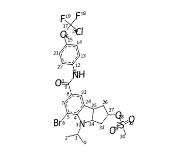 CC(C)N1c2c(Br)cc(C(=O)Nc3ccc(OC(F)(F)Cl)cc3)cc2C2CC(OS(C)(=O)=O)CC21